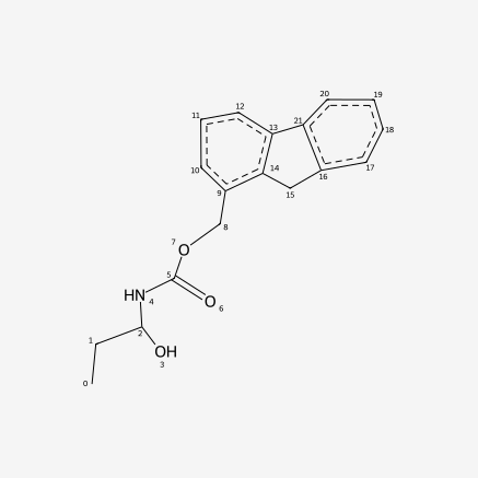 CCC(O)NC(=O)OCc1cccc2c1Cc1ccccc1-2